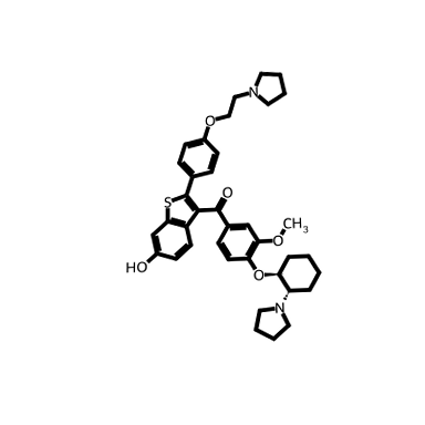 COc1cc(C(=O)c2c(-c3ccc(OCCN4CCCC4)cc3)sc3cc(O)ccc23)ccc1O[C@H]1CCCC[C@@H]1N1CCCC1